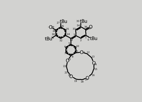 CC(C)(C)C1=CC(=C(c2ccc3c(c2)OCCOCCOCCOCCO3)c2cc(C(C)(C)C)c([O])c(C(C)(C)C)c2)C=C(C(C)(C)C)C1=O